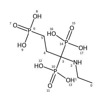 CCNC(CCP(=O)(O)O)(P(=O)(O)O)P(=O)(O)O